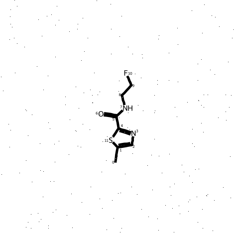 Cc1cnc(C(=O)NCCF)s1